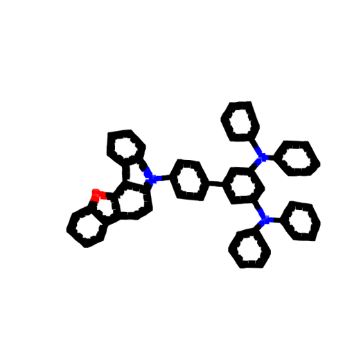 c1ccc(N(c2ccccc2)c2cc(-c3ccc(-n4c5ccccc5c5c6oc7ccccc7c6ccc54)cc3)cc(N(c3ccccc3)c3ccccc3)c2)cc1